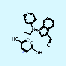 CCN(c1ccncc1)n1cc(C=O)c2ccccc21.O=C(O)/C=C\C(=O)O